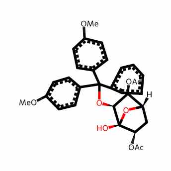 COc1ccc(C(O[C@H]2[C@@H](OC(C)=O)[C@@H]3C[C@@H](OC(C)=O)[C@@]2(O)O3)(c2ccccc2)c2ccc(OC)cc2)cc1